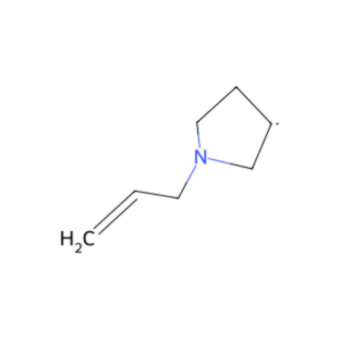 C=CCN1C[CH]CC1